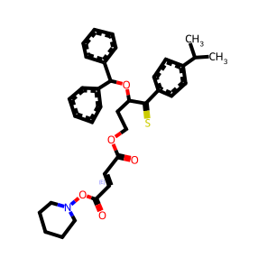 CC(C)c1ccc(C(=S)C(CCOC(=O)/C=C/C(=O)ON2CCCCC2)OC(c2ccccc2)c2ccccc2)cc1